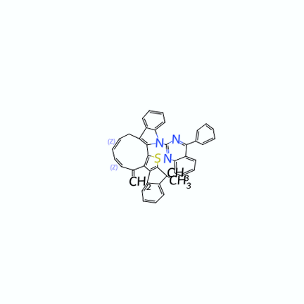 C=C1/C=C\C=C/Cc2c(n(-c3nc(-c4ccccc4)c4ccccc4n3)c3ccccc23)-c2sc3c(c21)-c1ccccc1C3(C)C